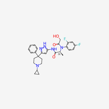 C[C@@H](C(=O)Nc1cc(C2(c3ccccc3)CCN(C3CC3)CC2)n[nH]1)N(C(=O)CO)c1ccc(F)cc1F